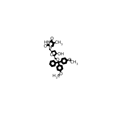 COc1ccc(C(OC[C@H]2O[C@@H](Cn3cc(C)c(=O)[nH]c3=O)C[C@@H]2O)(c2ccccc2)c2ccc(OC)cc2)cc1